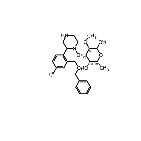 CO[C@H]1C(O)O[C@H](C)[C@H](O)[C@@H]1ON1CCNCC1c1ccc(Cl)cc1COCc1ccccc1